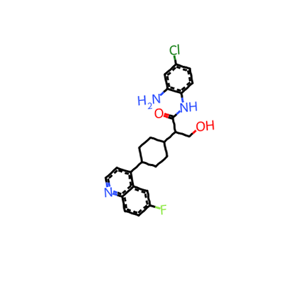 Nc1cc(Cl)ccc1NC(=O)C(CO)C1CCC(c2ccnc3ccc(F)cc23)CC1